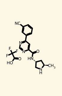 C[C@@H]1C[C@@H](NC(=O)c2cc(-c3cccc(C#N)c3)ncn2)CN1.O=C(O)C(F)(F)F